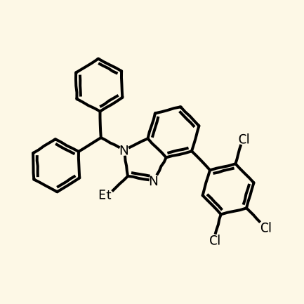 CCc1nc2c(-c3cc(Cl)c(Cl)cc3Cl)cccc2n1C(c1ccccc1)c1ccccc1